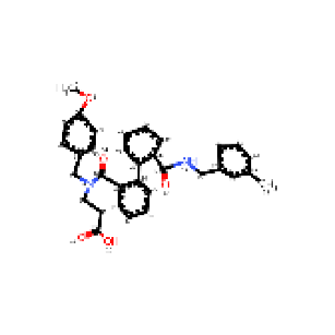 COc1ccc(CN(CCC(=O)O)C(=O)c2ccccc2-c2ccccc2C(=O)NCc2cccc(C)c2)cc1